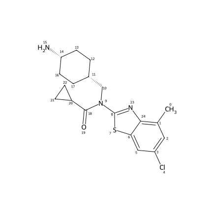 Cc1cc(Cl)cc2sc(N(C[C@H]3CC[C@@H](N)CC3)C(=O)C3CC3)nc12